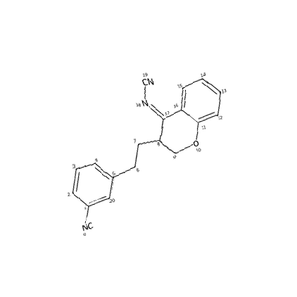 [C-]#[N+]c1cccc(CCC2COc3ccccc3/C2=N\C#N)c1